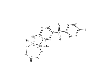 Cc1ccc(S(=O)(=O)c2ccc3c(c2)[C@H]2CCNCC[C@H]2N3)cc1